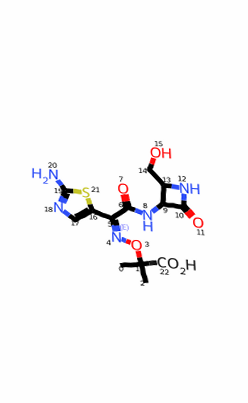 CC(C)(O/N=C(\C(=O)NC1C(=O)NC1CO)c1cnc(N)s1)C(=O)O